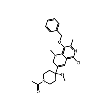 COC1(C2=Cc3c(Cl)nc(C)c(OCc4ccccc4)c3N(C)C2)CCN(C(C)=O)CC1